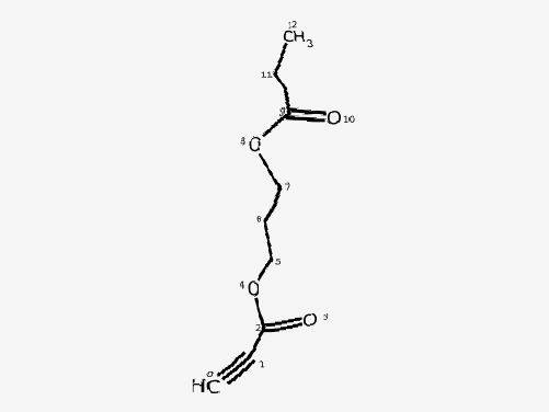 C#CC(=O)OCCCOC(=O)CC